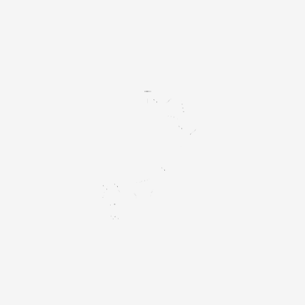 COc1cnnc(-c2cccc(CNCCC3CN(c4ccc5c(c4)NC(=O)CO5)C(=O)O3)c2)c1